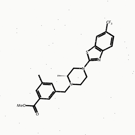 COC(=O)c1cc(C)cc(CN2CCN(c3nc4ccc(C(F)(F)F)cc4s3)C[C@H]2C)c1